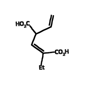 C=CC(C=C(CC)C(=O)O)C(=O)O